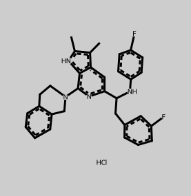 Cc1[nH]c2c(N3CCc4ccccc4C3)nc(C(Cc3cccc(F)c3)Nc3ccc(F)cc3)cc2c1C.Cl